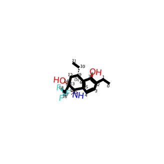 CCc1ccc2c(c1O)[C@@H](CC)C[C@](O)(C(F)(F)F)[C@H]2[NH]